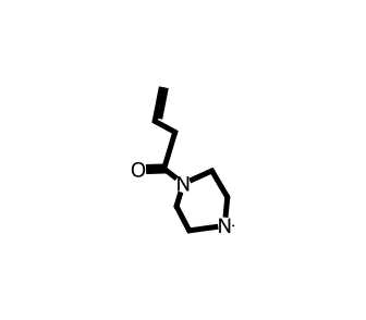 C=CCC(=O)N1CC[N]CC1